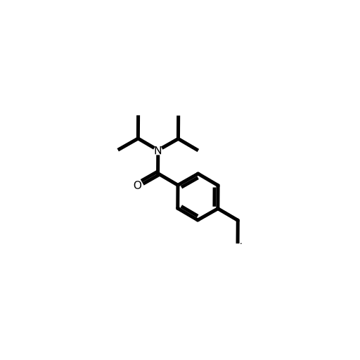 [CH2]Cc1ccc(C(=O)N(C(C)C)C(C)C)cc1